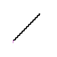 C=CCCCCCCCCCCCCCCCCCCCCCCCI